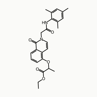 CCOC(=O)C(C)Oc1cccc2c(=O)n(CC(=O)Nc3c(C)cc(C)cc3C)ccc12